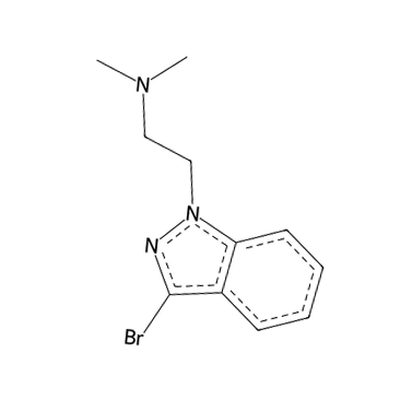 CN(C)CCn1nc(Br)c2ccccc21